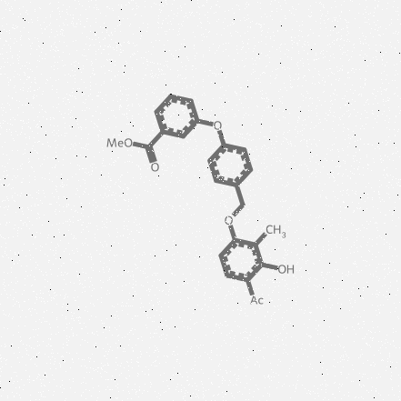 COC(=O)c1cccc(Oc2ccc(COc3ccc(C(C)=O)c(O)c3C)cc2)c1